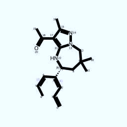 C=C/C=C(\C=C/C)[C@H]1CC(C)(C)Cn2nc(C)c(C(C)=O)c2N1